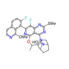 COc1nccc2ccc(F)c(-c3nc4c5c(nc(SC)nc5c3F)N3CC5CCC(C3C(C)O4)N5C(=O)O)c12